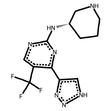 FC(F)(F)c1cnc(N[C@H]2CCCNC2)nc1-c1c[nH]nn1